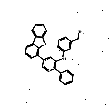 NCc1cccc(Nc2cc(-c3cccc4c3oc3ccccc34)ccc2-c2ccccc2)c1